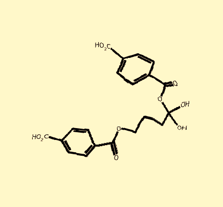 O=C(O)c1ccc(C(=O)OCCCC(O)(O)OC(=O)c2ccc(C(=O)O)cc2)cc1